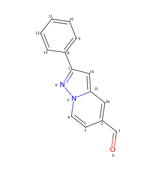 O=Cc1ccn2nc(-c3ccccc3)cc2c1